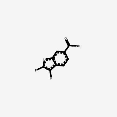 NC(=O)c1ccc2c(F)c(F)oc2c1